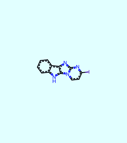 Ic1ccn2c(n1)nc1c3ccccc3[nH]c12